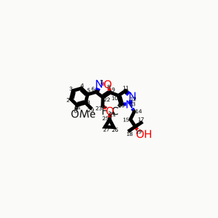 COc1cccc(-c2noc(-c3cnn(CCC(C)(C)O)c3C(F)(F)F)c2COC2CC2)c1C